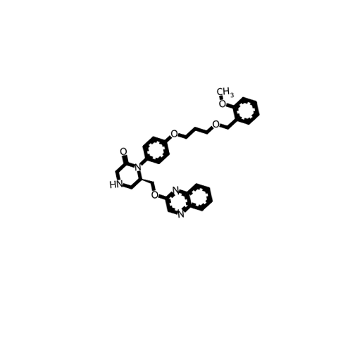 COc1ccccc1COCCCOc1ccc(N2C(=O)CNC[C@@H]2COc2cnc3ccccc3n2)cc1